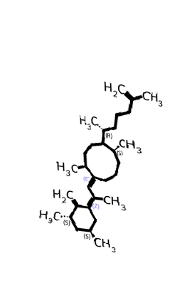 C=C(C)CCC[C@@H](C)C1CCC(C)/C(=C/C(C)=C2/C[C@@H](C)C[C@H](C)C2=C)CCC[C@@H]1C